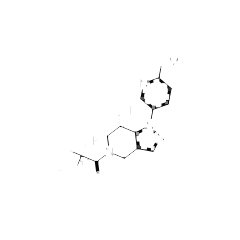 COc1ccc(-n2ncc3c2[C@@H](C)CN(C(=O)[C@@](C)(O)C(F)(F)F)C3)cn1